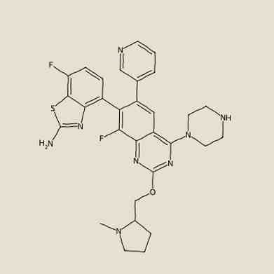 CN1CCCC1COc1nc(N2CCNCC2)c2cc(-c3cccnc3)c(-c3ccc(F)c4sc(N)nc34)c(F)c2n1